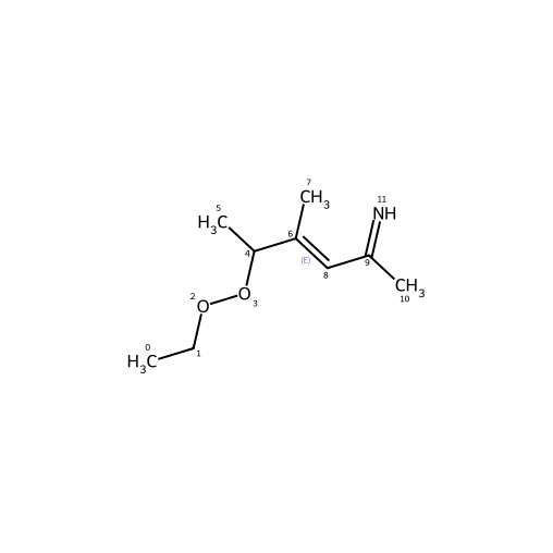 CCOOC(C)/C(C)=C/C(C)=N